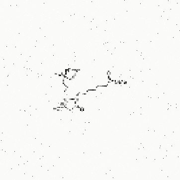 C=C[C@](O)(CCCCC)CCC[C@H]1[C@H](O)CC(=O)[C@@H]1CCCCC=CC(=O)OC